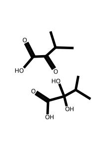 CC(C)C(=O)C(=O)O.CC(C)C(O)(O)C(=O)O